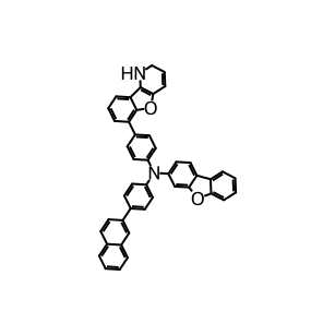 C1=Cc2oc3c(-c4ccc(N(c5ccc(-c6ccc7ccccc7c6)cc5)c5ccc6c(c5)oc5ccccc56)cc4)cccc3c2NC1